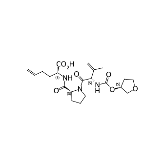 C=CCC[C@H](NC(=O)[C@@H]1CCCN1C(=O)[C@@H](NC(=O)O[C@H]1CCOC1)C(=C)C)C(=O)O